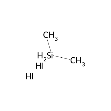 C[SiH2]C.I.I